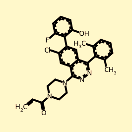 C=CC(=O)N1CCN(c2nnc(-c3c(C)cccc3C)c3cc(-c4c(O)cccc4F)c(Cl)cc23)CC1